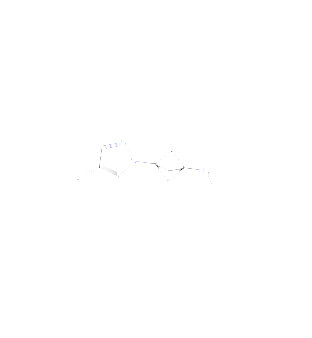 O=C(O)NC12CC(n3cc(Br)cn3)(C1)C2